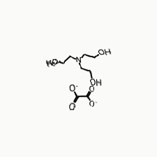 O=C([O-])C(=O)[O-].OCCN(CCO)CCO.[Fe+2]